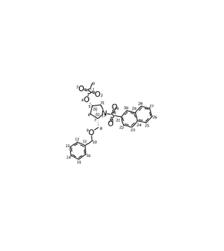 CS(=O)(=O)O[C@H]1C[C@@H](COCc2ccccc2)N(S(=O)(=O)c2ccc3ccccc3c2)C1